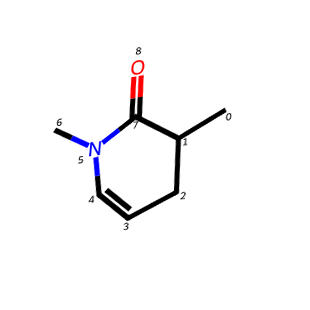 CC1CC=CN(C)C1=O